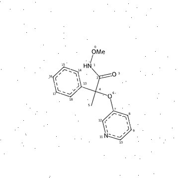 CONC(=O)C(C)(Oc1cccnc1)c1ccccc1